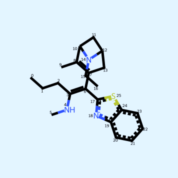 CCC/C(NC)=C(\C1=C(C)C2CC(C1)N2CC)c1nc2ccccc2s1